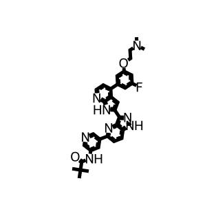 CN(C)CCOc1cc(F)cc(-c2ccnc3[nH]c(-c4n[nH]c5ccc(-c6cncc(NC(=O)C(C)(C)C)c6)nc45)cc23)c1